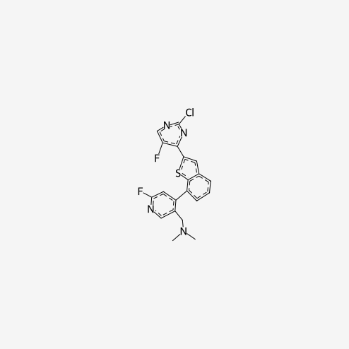 CN(C)Cc1cnc(F)cc1-c1cccc2cc(-c3nc(Cl)ncc3F)sc12